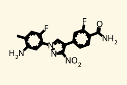 Cc1cc(F)c(-n2cc(-c3ccc(C(N)=O)c(F)c3)c([N+](=O)[O-])n2)cc1N